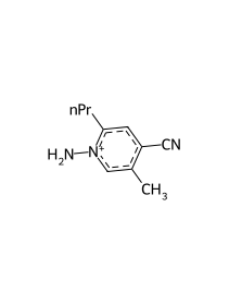 CCCc1cc(C#N)c(C)c[n+]1N